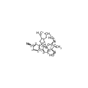 CCCCC1(CCCC)c2cc(C#N)ccc2-c2ccc(/C(=N\O)C(C)/C(C)=N/O)cc21